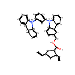 C=CC1CC(C=C)C(C(=O)OCc2ccc3c(c2)c2ccccc2n3-c2cccc(-n3c4ccccc4c4ccccc43)c2)C1